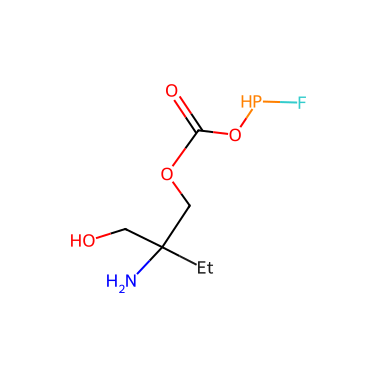 CCC(N)(CO)COC(=O)OPF